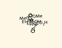 CCC(CC)Cn1nc(C(O)N[C@@H](CCN2CCCCC2)CC(=O)O)cc1-c1c(OC)cccc1OC